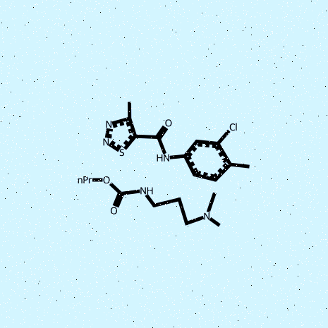 CCCOC(=O)NCCCN(C)C.Cc1ccc(NC(=O)c2snnc2C)cc1Cl